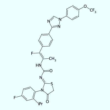 C/C(NC(=O)/N=C1\SCC(=O)N1c1ccc(F)cc1C(C)C)=C(/F)c1ccc(-c2ncn(-c3ccc(OC(F)(F)F)cc3)n2)cc1